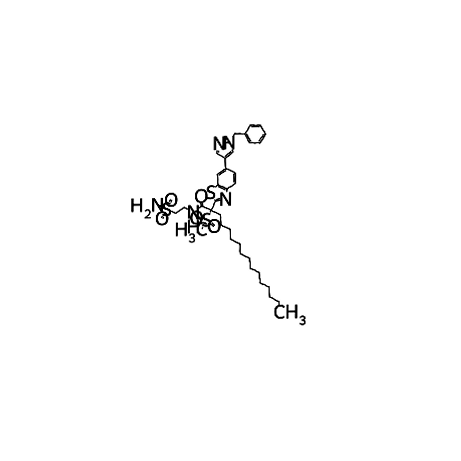 CCCCCCCCCCCCCCC(C(=O)NCCS(N)(=O)=O)(c1nc2ccc(-c3cnn(Cc4ccccc4)c3)cc2s1)S(C)(=O)=O